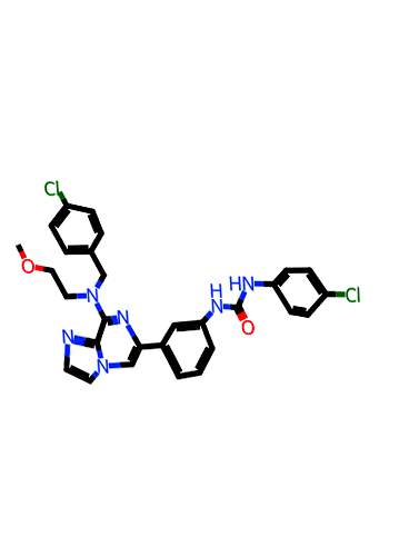 COCCN(Cc1ccc(Cl)cc1)c1nc(-c2cccc(NC(=O)Nc3ccc(Cl)cc3)c2)cn2ccnc12